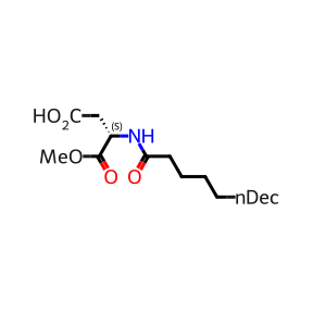 CCCCCCCCCCCCCCC(=O)N[C@@H](CC(=O)O)C(=O)OC